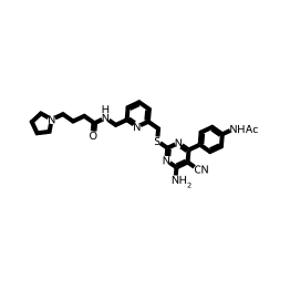 CC(=O)Nc1ccc(-c2nc(SCc3cccc(CNC(=O)CCCN4CCCC4)n3)nc(N)c2C#N)cc1